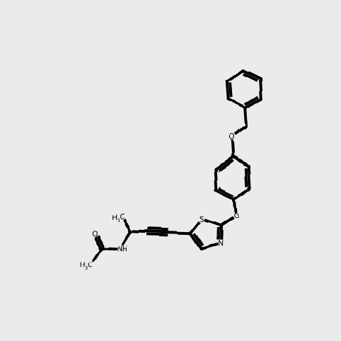 CC(=O)NC(C)C#Cc1cnc(Oc2ccc(OCc3ccccc3)cc2)s1